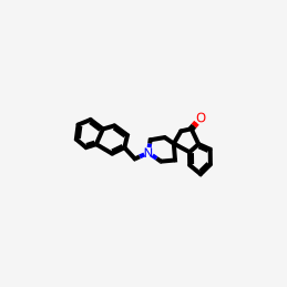 O=C1CC2(CCN(Cc3ccc4ccccc4c3)CC2)c2ccccc21